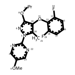 COc1cnc(-n2nc(OC(C)C)c(Oc3c(F)cccc3F)c2C)nc1